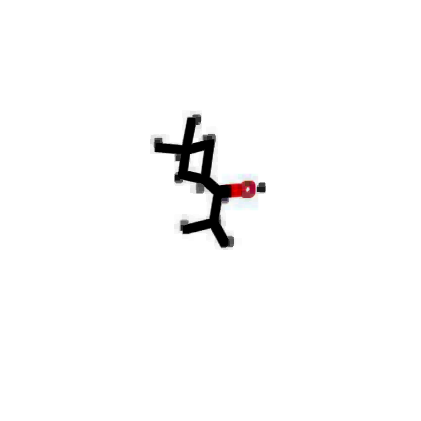 CC(C)C(=O)C1CC(C)(C)C1